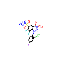 NS(=O)(=O)c1cc(C(=O)NO)c(Nc2ccc(I)cc2Cl)c(F)c1F